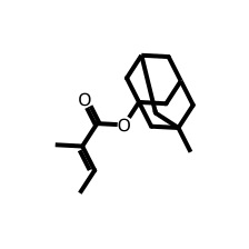 CC=C(C)C(=O)OC12CC3CC(CC(C)(C3)C1)C2